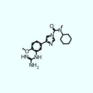 COc1ccc(-c2cn(C(=O)N(C)C3CCCCC3)cn2)cc1NC(=N)N